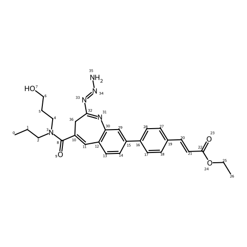 CCCN(CCCO)C(=O)C1=Cc2ccc(-c3ccc(/C=C/C(=O)OCC)cc3)cc2N=C(N=NN)C1